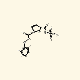 CS(=O)(=O)NC(=O)C1CCN(C(=O)OCc2ccccc2)C1